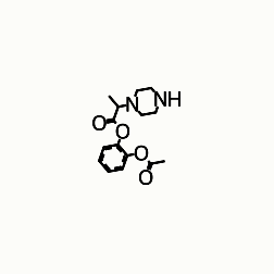 CC(=O)Oc1ccccc1OC(=O)C(C)N1CCNCC1